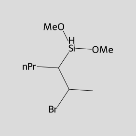 CCCC(C(C)Br)[SiH](OC)OC